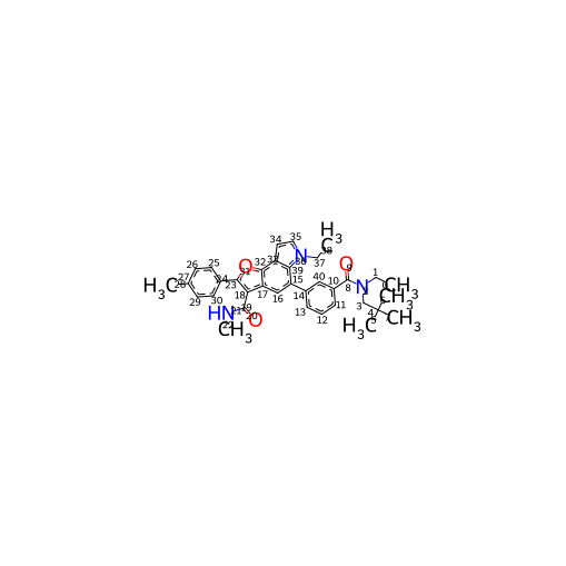 CCN(CC(C)(C)C)C(=O)c1cccc(-c2cc3c(C(=O)NC)c(-c4ccc(C)cc4)oc3c3ccn(CC)c23)c1